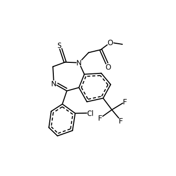 COC(=O)CN1C(=S)CN=C(c2ccccc2Cl)c2cc(C(F)(F)F)ccc21